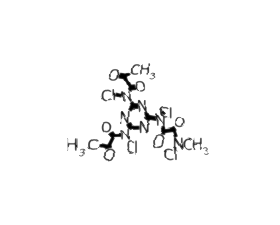 CC(=O)C(=O)N(Cl)c1nc(N(Cl)C(=O)C(C)=O)nc(N(Cl)C(=O)C(=O)N(C)Cl)n1